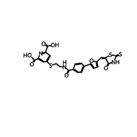 O=C1NC(=S)SC1=Cc1ccc(-c2ccc(C(=O)NCCSc3cc(C(=O)O)nc(C(=O)O)c3)cc2)o1